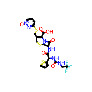 O=C(NCC(F)(F)F)NC(C(=O)N[C@H]1C(=O)N2C(C(=O)O)=C(CSc3ccc[n+]([O-])n3)CSC12)c1cccs1